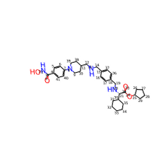 O=C(NO)c1ccc(N2CCC(CNCc3ccc(CN[C@H](C(=O)OC4CCCC4)C4CCCCC4)cc3)CC2)cc1